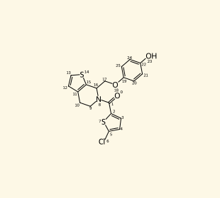 O=C(c1ccc(Cl)s1)N1CCc2ccsc2C1COc1ccc(O)cc1